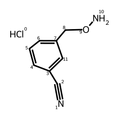 Cl.N#Cc1cccc(CON)c1